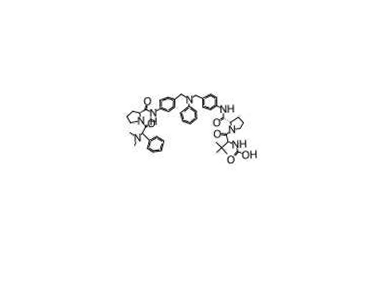 CN(C)[C@@H](C(=O)N1CCC[C@H]1C(=O)Nc1ccc(CN(Cc2ccc(NC(=O)[C@@H]3CCCN3C(=O)[C@@H](NC(=O)O)C(C)(C)C)cc2)c2ccccc2)cc1)c1ccccc1